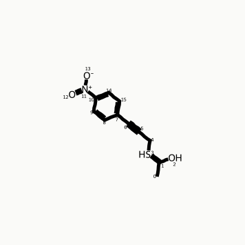 CC(O)=[SH]CC#Cc1ccc([N+](=O)[O-])cc1